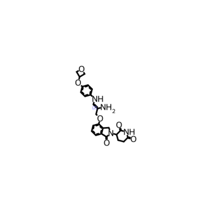 N/C(=C\Nc1ccc(OC2COC2)cc1)COc1cccc2c1CN(C1CCC(=O)NC1=O)C2=O